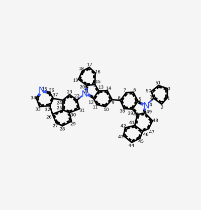 c1ccc(-n2c3ccc(-c4ccc5c(c4)c4ccccc4n5-c4cc5c6c(cccc6c4)-c4ccncc4-5)cc3c3c4ccccc4ccc32)cc1